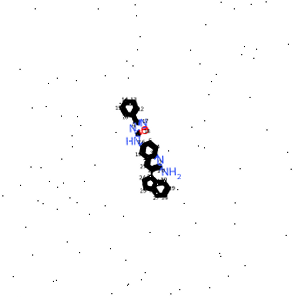 Nc1nc2ccc(Nc3nc(-c4ccccc4)no3)cc2cc1[C@@H]1CCc2ccccc21